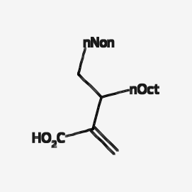 C=C(C(=O)O)C(CCCCCCCC)CCCCCCCCCC